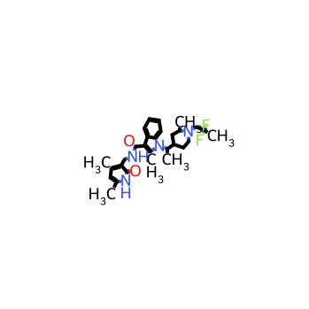 Cc1cc(C)c(CNC(=O)c2c(C)n(C(C)C3CCN(CC(C)(F)F)C(C)C3)c3ccccc23)c(=O)[nH]1